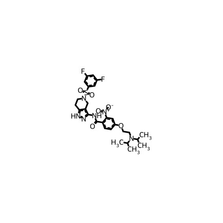 CC(C)N(CCOc1ccc(C(=O)Nc2n[nH]c3c2CN(S(=O)(=O)c2cc(F)cc(F)c2)CC3)c([N+](=O)[O-])c1)C(C)C